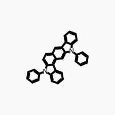 c1ccc(-n2c3ccccc3c3cc4ccc5c(c4cc32)c2ccccc2n5-c2ccccc2)cc1